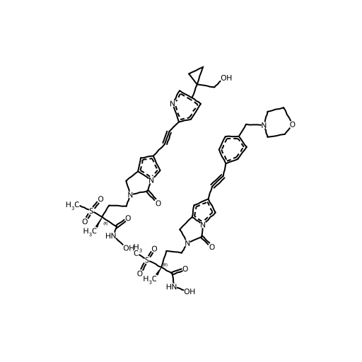 C[C@@](CCN1Cc2cc(C#Cc3ccc(C4(CO)CC4)cn3)cn2C1=O)(C(=O)NO)S(C)(=O)=O.C[C@@](CCN1Cc2cc(C#Cc3ccc(CN4CCOCC4)cc3)cn2C1=O)(C(=O)NO)S(C)(=O)=O